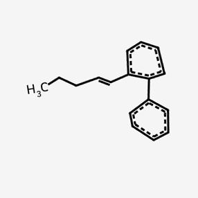 CCCC=Cc1ccccc1-c1ccccc1